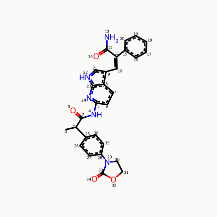 CC(C(=O)Nc1ccc2c(C=C(C(N)=O)c3ccccc3)c[nH]c2n1)c1ccc(N2CCOC2=O)cc1